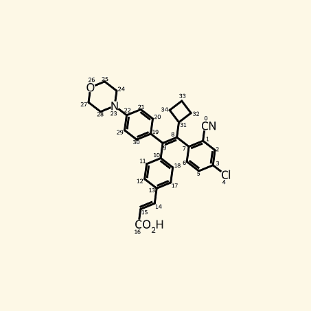 N#Cc1cc(Cl)ccc1/C(=C(\c1ccc(/C=C/C(=O)O)cc1)c1ccc(N2CCOCC2)cc1)C1CCC1